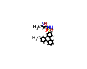 Cc1ccc(-c2ccccc2-c2ccc(S(=O)(=O)Nc3cc(C)no3)cc2)cc1